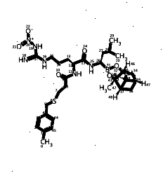 Cc1ccc(CSCCC(=O)N[C@@H](CCCNC(=N)N[N+](=O)[O-])C(=O)N[C@@H](CC(C)C)B2O[C@@H]3C[C@@H]4C[C@@H](C4(C)C)[C@]3(C)O2)cc1